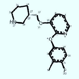 Cc1cc(Oc2ncccc2OC[C@H]2CCCNC2)ccc1F